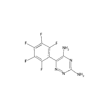 Nc1nnc(-c2c(F)c(F)c(F)c(F)c2F)c(N)n1